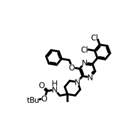 CC1(CNC(=O)OC(C)(C)C)CCN(c2ncc(-c3cccc(Cl)c3Cl)nc2OCc2ccccc2)CC1